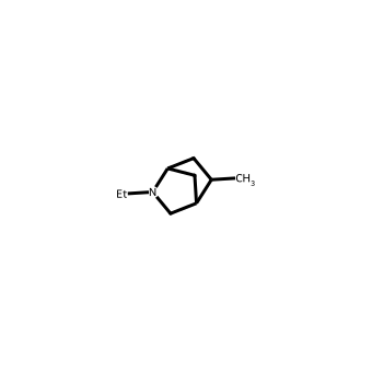 CCN1CC2CC1CC2C